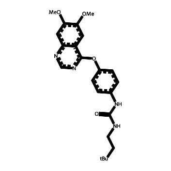 COc1cc2ncnc(Oc3ccc(NC(=O)NCCC(C)(C)C)cc3)c2cc1OC